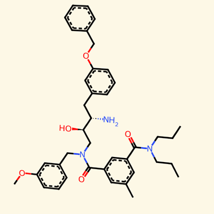 CCCN(CCC)C(=O)c1cc(C)cc(C(=O)N(Cc2cccc(OC)c2)C[C@@H](O)[C@@H](N)Cc2cccc(OCc3ccccc3)c2)c1